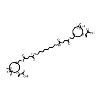 C=C(C(=O)O)[C@@H]1CC/C(COC(=O)CCC(=O)NCCCCCCCCNC(=O)CCC(=O)OC/C2=C/CC[C@@]3(C)O[C@H]3C[C@H](C(=C)C(=O)O)CC2)=C\CC[C@@]2(C)O[C@H]2C1